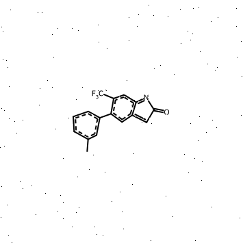 Cc1cccc(-c2cc3c(cc2C(F)(F)F)=NC(=O)C=3)c1